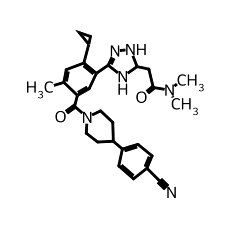 Cc1cc(C2CC2)c(C2=NNC(CC(=O)N(C)C)N2)cc1C(=O)N1CCC(c2ccc(C#N)cc2)CC1